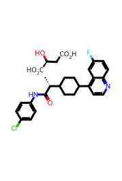 C[C@@H](C(=O)Nc1ccc(Cl)cc1)C1CCC(c2ccnc3ccc(F)cc23)CC1.O=C(O)C[C@H](O)C(=O)O